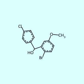 COc1ccc(Br)c(C(O)c2ccc(Cl)cc2)c1